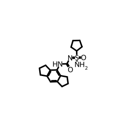 NS(=O)(=NC(=O)Nc1c2c(cc3c1CCC3)CCC2)C1CCCC1